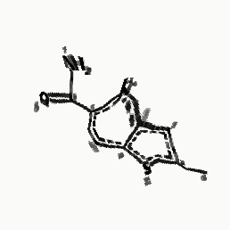 Cc1cc2[nH]c(C(N)=O)cc2s1